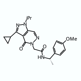 COc1ccc([C@H](C)NC(=O)Cn2ncc3c(c(C4CC4)nn3C(C)C)c2=O)cc1